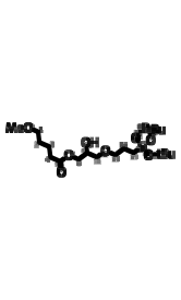 COCCCCC(=O)OCC(O)COCCC[Si](OC(C)(C)C)(OC(C)(C)C)OC(C)(C)C